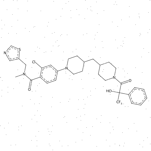 CN(Cc1cncs1)C(=O)c1ccc(N2CCC(CC3CCN(C(=O)C(O)(c4ccccc4)C(F)(F)F)CC3)CC2)cc1Cl